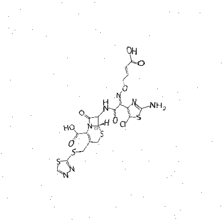 Nc1nc(C(=NOCC=CC(=O)O)C(=O)NC2C(=O)N3C(C(=O)O)=C(CSc4nncs4)CS[C@@H]23)c(Cl)s1